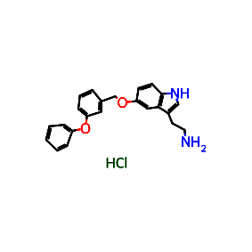 Cl.NCCc1c[nH]c2ccc(OCc3cccc(Oc4ccccc4)c3)cc12